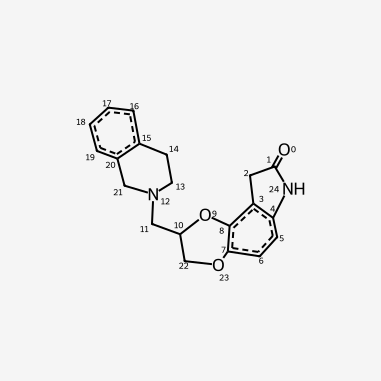 O=C1Cc2c(ccc3c2OC(CN2CCc4ccccc4C2)CO3)N1